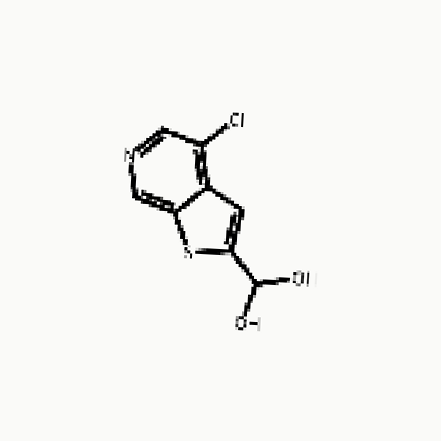 OC(O)c1cc2c(Cl)cncc2s1